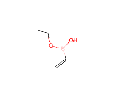 C=CB(O)OCC